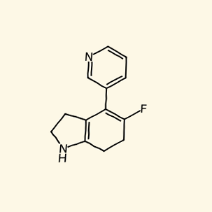 FC1=C(c2cccnc2)C2=C(CC1)NCC2